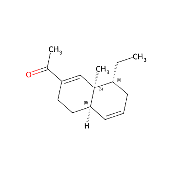 CC[C@@H]1CC=C[C@H]2CCC(C(C)=O)=C[C@@]12C